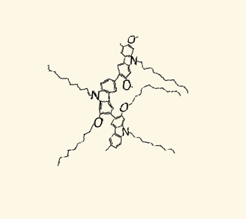 CCCCCCCCCCOc1cc2c(cc1-c1cc3c4cc(-c5cc6c7cc(C)c(OC)cc7n(CCCCCCCCCC)c6cc5OC)ccc4n(CCCCCCCCCC)c3cc1OCCCCCCCCCC)c1cc(C)ccc1n2CCCCCCCCCC